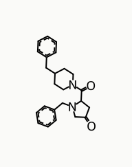 O=C1CC(C(=O)N2CCC(Cc3ccccc3)CC2)N(Cc2ccccc2)C1